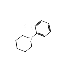 [SrH2].c1ccc(N2CCCCC2)cc1